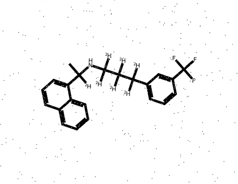 [2H]C(C)(NC([2H])([2H])C([2H])([2H])C([2H])([2H])c1cccc(C(F)(F)F)c1)c1cccc2ccccc12